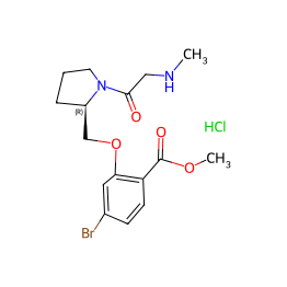 CNCC(=O)N1CCC[C@@H]1COc1cc(Br)ccc1C(=O)OC.Cl